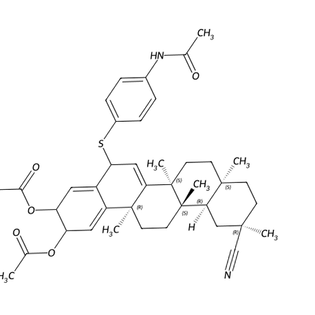 CC(=O)Nc1ccc(SC2C=C3[C@@](C)(CC[C@@]4(C)[C@@H]5C[C@](C)(C#N)CC[C@]5(C)CC[C@]34C)C3=CC(OC(C)=O)C(OC(C)=O)C=C32)cc1